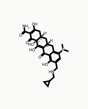 CN(C)c1cc(CNCC2CC2)c(O)c2c1C[C@H]1C[C@H]3CC(O)=C(C(N)=O)C(=O)[C@@]3(O)C(O)=C1C2=O